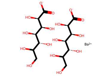 O=C([O-])[C@H](O)[C@@H](O)[C@H](O)[C@H](O)C(O)CO.O=C([O-])[C@H](O)[C@@H](O)[C@H](O)[C@H](O)C(O)CO.[Ba+2]